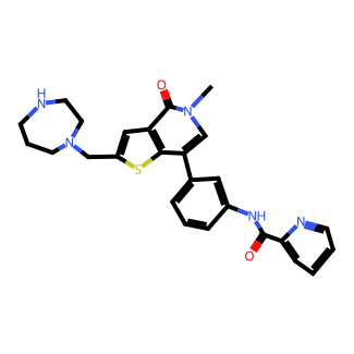 Cn1cc(-c2cccc(NC(=O)c3ccccn3)c2)c2sc(CN3CCCNCC3)cc2c1=O